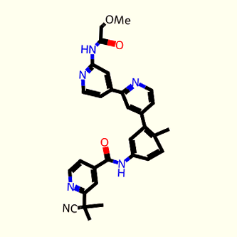 COCC(=O)Nc1cc(-c2cc(-c3cc(NC(=O)c4ccnc(C(C)(C)C#N)c4)ccc3C)ccn2)ccn1